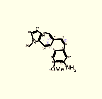 C/C=C(/C=C\c1ccc(OC)c(N)c1)\C=C/c1cccn1C